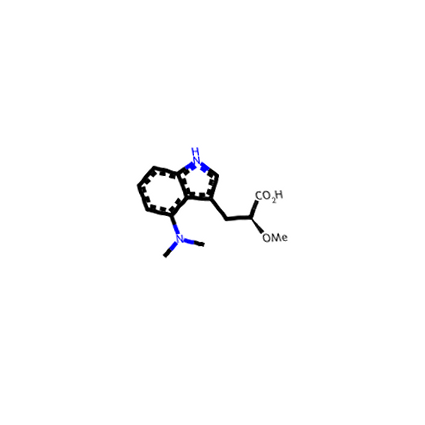 CO[C@@H](Cc1c[nH]c2cccc(N(C)C)c12)C(=O)O